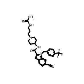 N#Cc1ccc2cc(C(=O)NC3CCN(CCCNC(=N)N)CC3)n(Cc3ccc(C(F)(F)F)cc3)c2c1